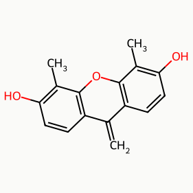 C=C1c2ccc(O)c(C)c2Oc2c1ccc(O)c2C